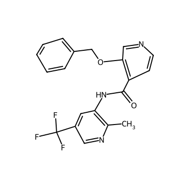 Cc1ncc(C(F)(F)F)cc1NC(=O)c1ccncc1OCc1ccccc1